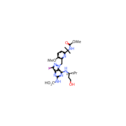 CCC[C@@H](CCO)Nc1nc(NC(=O)O)nc2c(I)nn(Cc3nc(C(C)(C)NC(=O)OC)ccc3OC)c12